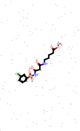 COC(=O)CCCCNC(=O)CC(O)NS(=O)(=O)c1cccc(Cl)c1